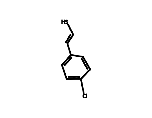 SC=Cc1ccc(Cl)cc1